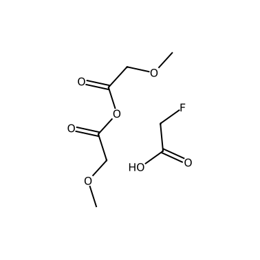 COCC(=O)OC(=O)COC.O=C(O)CF